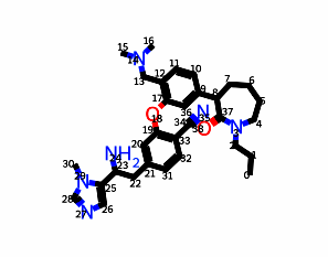 CCCN1CCCCC(c2ccc(CN(C)C)c(Oc3cc(CC(N)c4cncn4C)ccc3C#N)c2)C1=O